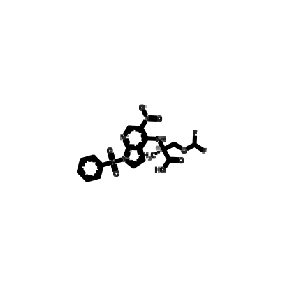 C[C@@](COC(F)F)(Nc1c([N+](=O)[O-])cnc2c1ccn2S(=O)(=O)c1ccccc1)C(=O)O